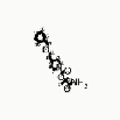 CC(C)(OC(=O)N1CCC([CH]COCc2ccccc2)CC1)C(N)=O